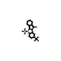 CC1=c2ccccc2=C2C1c1cc(C(C)(C)C)ccc1N2[Si](C)(C)C